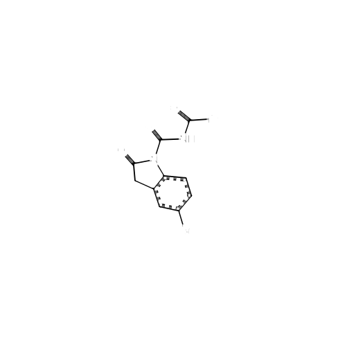 CC(C)C(=O)NC(=O)N1C(=O)Cc2cc(Br)ccc21